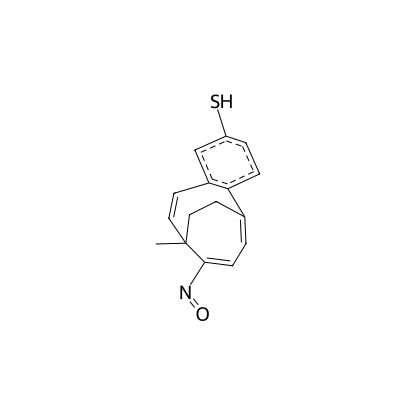 CC12C=Cc3cc(S)ccc3C(=CC=C1N=O)CC2